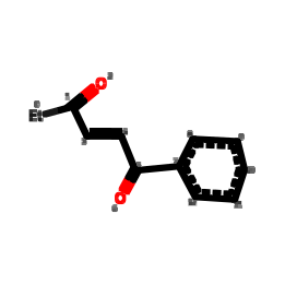 CCC(=O)/C=C/C(=O)c1ccccc1